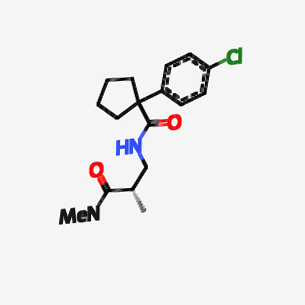 CNC(=O)[C@@H](C)CNC(=O)C1(c2ccc(Cl)cc2)CCCC1